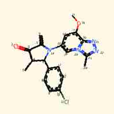 C=C1C(=O)C(C)C(c2ccc(Cl)cc2)N1c1cc(OC)c2nnc(C)n2c1